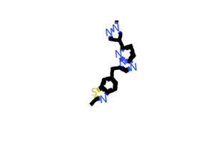 Cc1nc2ccc(Cc3cnc4ccc(C5C=NN(C)C5)nn34)cc2s1